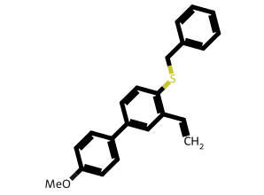 C=Cc1cc(-c2ccc(OC)cc2)ccc1SCc1ccccc1